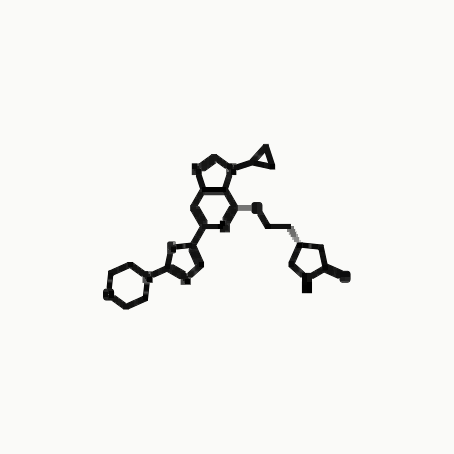 O=C1C[C@@H](CCOc2nc(-c3cnc(N4CCOCC4)s3)cc3ncn(C4CC4)c23)CN1